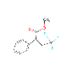 COC(=O)C(CC(F)(F)F)c1ccccc1